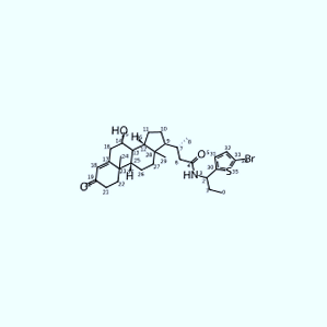 CCC(NC(=O)C[C@@H](C)C1CC[C@H]2C3[C@H](O)CC4=CC(=O)CCC4(C)[C@H]3CCC12C)c1ccc(Br)s1